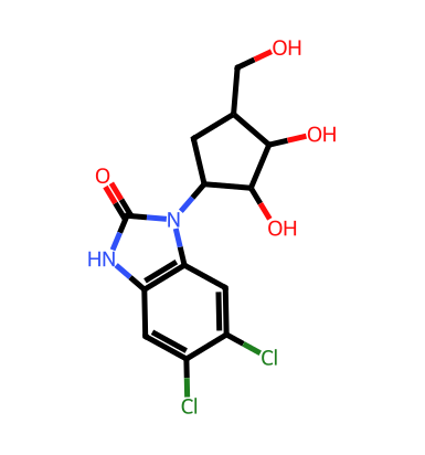 O=c1[nH]c2cc(Cl)c(Cl)cc2n1C1CC(CO)C(O)C1O